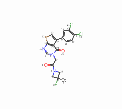 CCC1(F)CN(C(=O)Cn2cnc3scc(-c4ccc(Cl)c(Cl)c4)c3c2=O)C1